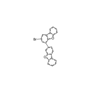 Brc1cc(-c2ccc3c(c2)oc2ccccc23)c2oc3ccccc3c2c1